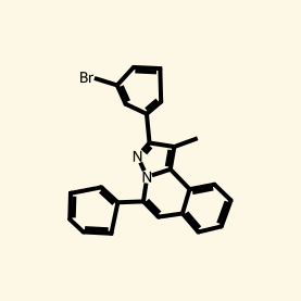 Cc1c(-c2cccc(Br)c2)nn2c(-c3ccccc3)cc3ccccc3c12